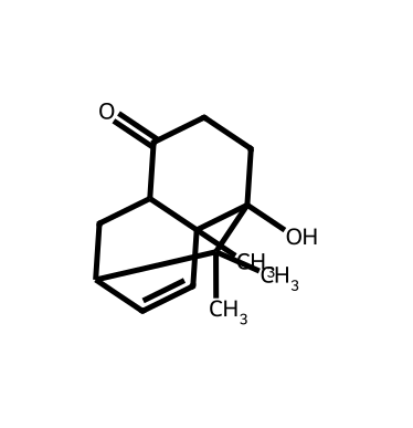 CC1(C)C2C=CC3(C)C(C2)C(=O)CCC13O